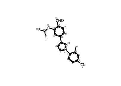 Cc1cc(C#N)ccc1-n1ccc(-c2ccc(C=O)c(OC(F)F)c2)n1